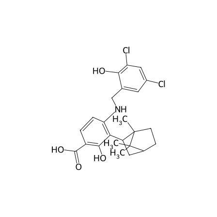 CC1(C)C2CCC1(C)C(c1c(NCc3cc(Cl)cc(Cl)c3O)ccc(C(=O)O)c1O)C2